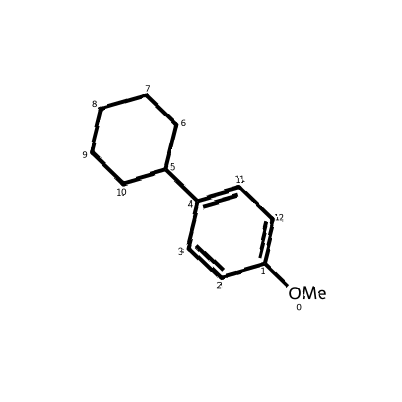 COc1[c]cc(C2CCCCC2)cc1